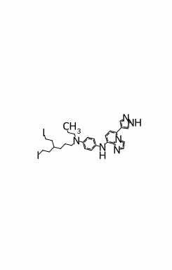 CCCN(CCCC(CCI)CCI)c1ccc(Nc2ccc(-c3cn[nH]c3)n3ccnc23)cc1